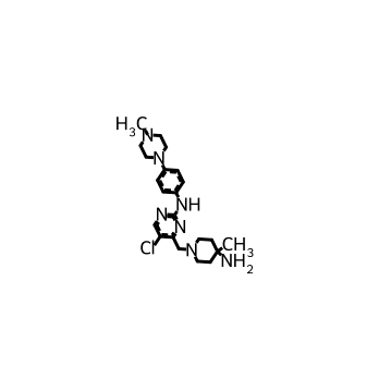 CN1CCN(c2ccc(Nc3ncc(Cl)c(CN4CCC(C)(N)CC4)n3)cc2)CC1